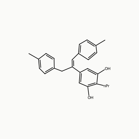 CCCc1c(O)cc(/C(=C\c2ccc(C)cc2)Cc2ccc(C)cc2)cc1O